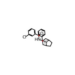 O=C(NC1CC2CCC(C1)N2Cc1ccccc1)c1cccc(Cl)c1